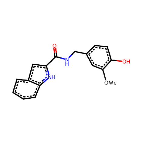 COc1cc(CNC(=O)c2cc3ccccc3[nH]2)ccc1O